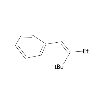 CCC(=Cc1ccccc1)C(C)(C)C